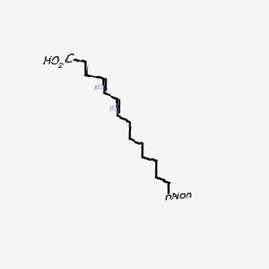 CCCCCCCCCCCCCCCC/C=C/C=C/CCC(=O)O